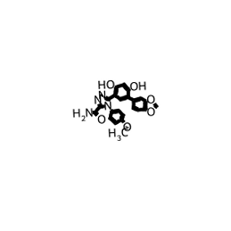 COc1ccc(-n2c(C(N)=O)nnc2-c2cc(-c3ccc4c(c3)OCO4)c(O)cc2O)cc1